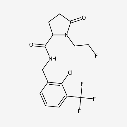 O=C(NCc1cccc(C(F)(F)F)c1Cl)C1CCC(=O)N1CCF